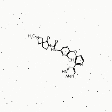 CN/C=C(\C=N)c1cc(Oc2ccc(NC(=O)N3CCC4(CN(C)C4)C3=O)nc2C)ccn1